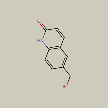 O=c1ccc2cc(CBr)ccc2[nH]1